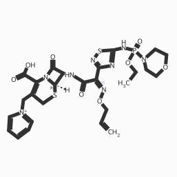 C=CCO/N=C(\C(=O)NC1C(=O)N2C(C(=O)O)=C(C[n+]3ccccc3)CS[C@H]12)c1nsc(NP(=O)(OCC)N2CCOCC2)n1